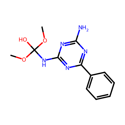 COC(O)(Nc1nc(N)nc(-c2ccccc2)n1)OC